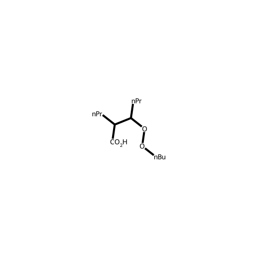 CCCCOOC(CCC)C(CCC)C(=O)O